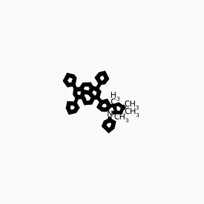 CC1(C)CC2(C)c3cc(-c4cc(-c5ccccc5)c5ccc6c(-c7ccccc7)cc(-c7ccccc7)c7ccc4c5c67)ccc3N(c3ccccc3)C2(C)C1